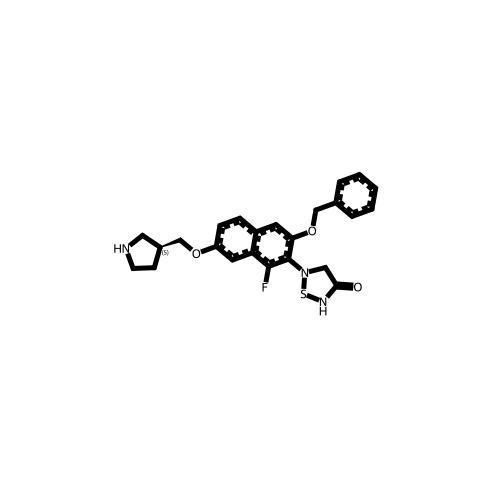 O=C1CN(c2c(OCc3ccccc3)cc3ccc(OC[C@H]4CCNC4)cc3c2F)SN1